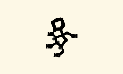 OC[C@H]1OC(CO)(c2ccccn2)[C@@H](O)[C@@H]1O